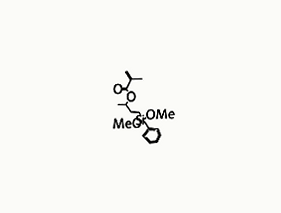 C=C(C)C(=O)OC(C)CC[Si](OC)(OC)c1ccccc1